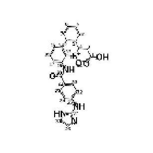 O=C(O)CC(c1ccccc1)[S+]([O-])c1ccccc1NC(=O)c1ccc(Nc2ncc[nH]2)cc1